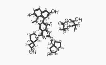 CCc1c(F)ccc2cc(O)cc(-c3c(F)cc4c(N5CCCC6(CC(O)C6)C5)nc(OC[C@@]56CCCN5C[C@H](F)C6)nc4c3F)c12.O=C(O)C(F)(F)F.O=C(O)C(F)(F)F